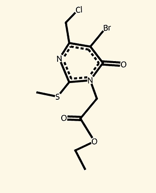 CCOC(=O)Cn1c(SC)nc(CCl)c(Br)c1=O